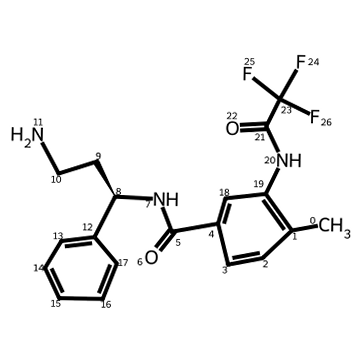 Cc1ccc(C(=O)N[C@H](CCN)c2ccccc2)cc1NC(=O)C(F)(F)F